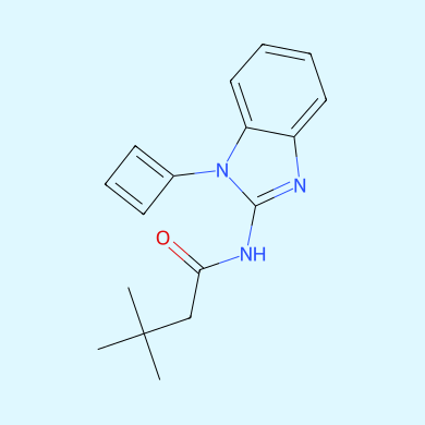 CC(C)(C)CC(=O)Nc1nc2ccccc2n1C1=CC=C1